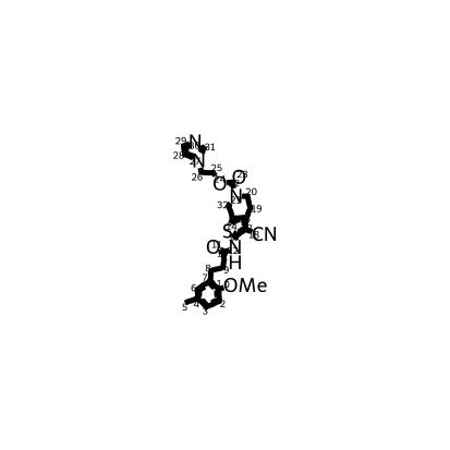 COc1ccc(C)cc1CCC(=O)Nc1sc2c(c1C#N)CCN(C(=O)OCCn1ccnc1)C2